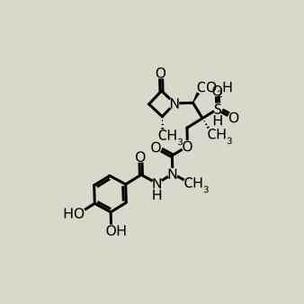 C[C@@H]1CC(=O)N1[C@@H](C(=O)O)[C@](C)(COC(=O)N(C)NC(=O)c1ccc(O)c(O)c1)[SH](=O)=O